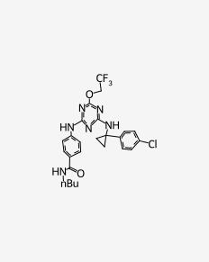 CCCCNC(=O)c1ccc(Nc2nc(NC3(c4ccc(Cl)cc4)CC3)nc(OCC(F)(F)F)n2)cc1